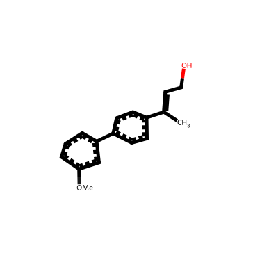 COc1cccc(-c2ccc(/C(C)=C/CO)cc2)c1